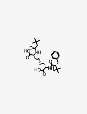 CC(C)(C)CC(=O)N[C@@H](CSSC[C@H](NC(=O)[C@H](Cc1ccccc1)C(C)(C)C)C(=O)O)C(=O)O